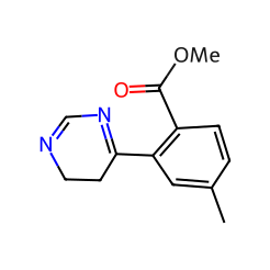 COC(=O)c1ccc(C)cc1C1=NC=NCC1